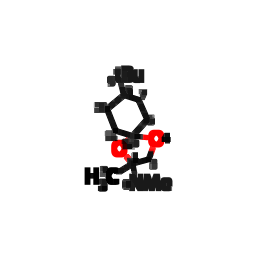 CNC1(C)COC2(CCC(C(C)(C)C)CC2)O1